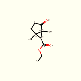 CCOC(=O)[C@H]1[C@@H]2CCC(=O)[C@@H]21